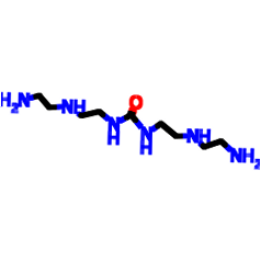 NCCNCCNC(=O)NCCNCCN